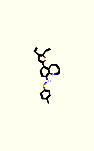 C=Cc1cc(-c2ccc(NSc3ccc(C)cc3)c3c2CC=CC=N3)sc1C=C